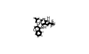 CC(C)CO[C@H]1COc2ccccc2[C@@H]1Nc1ncnc2[nH]c(C(F)(F)F)cc12